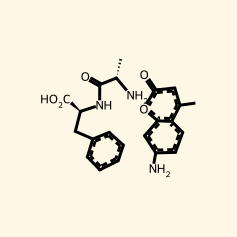 C[C@H](N)C(=O)N[C@@H](Cc1ccccc1)C(=O)O.Cc1cc(=O)oc2cc(N)ccc12